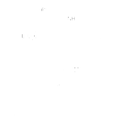 C=C1CC(=O)C2=C(C1)NC(C(C)C)=C(C(=O)OCC)C2c1ccc(-c2ccccc2)cc1